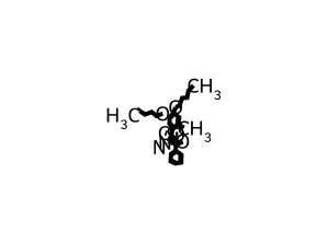 CCCCCOc1cc(C)c(S(=O)(=O)C(=[N+]=[N-])C(=O)c2ccccc2)cc1OCCCCC